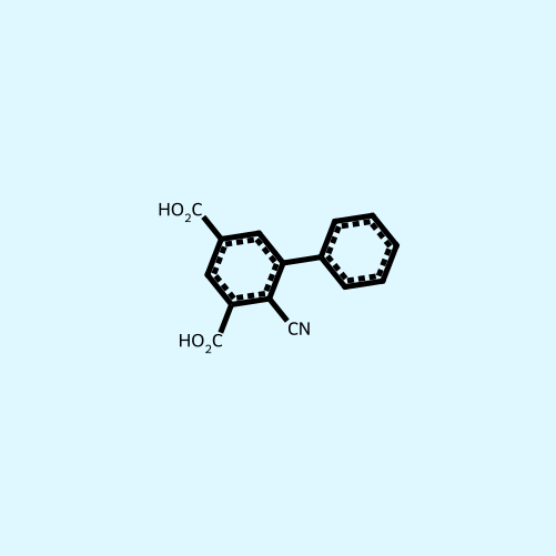 N#Cc1c(C(=O)O)cc(C(=O)O)cc1-c1ccccc1